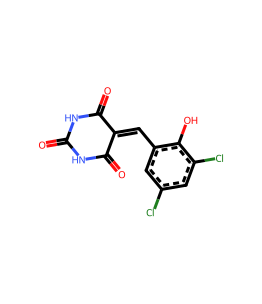 O=C1NC(=O)C(=Cc2cc(Cl)cc(Cl)c2O)C(=O)N1